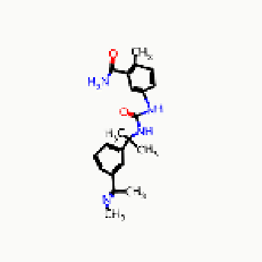 C/N=C(\C)c1cccc(C(C)(C)NC(=O)Nc2ccc(C)c(C(N)=O)c2)c1